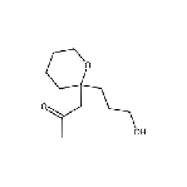 CC(=O)CC1(CCCO)CCCCO1